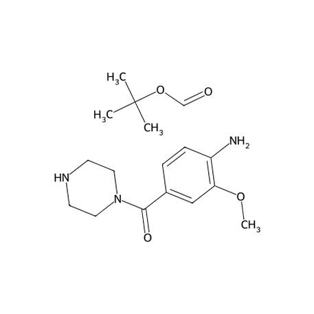 CC(C)(C)OC=O.COc1cc(C(=O)N2CCNCC2)ccc1N